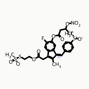 CCC(CC(=O)Oc1cc2c(cc1F)C(CC(=O)OCCSS(C)(=O)=O)=C(C)/C2=C/c1ccc([S+](C)[O-])cc1)O[N+](=O)[O-]